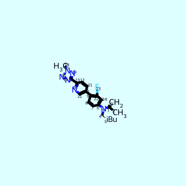 C=C(C)N(C[C@@H](C)CC)c1ccc(-c2ccc(-c3nnn(C)n3)nc2)c(F)c1